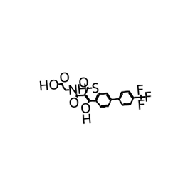 O=C(O)CNC(=O)c1c(O)c2ccc(-c3ccc(C(F)(F)F)cc3)cc2sc1=O